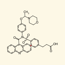 CC(Oc1ccc(N(C(=O)c2c3ccccc3nc3ccccc23)S(=O)(=O)c2ccc(CCC(=O)O)cc2)cc1)N1CCOCC1